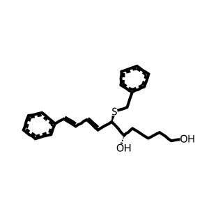 OCCCC[C@H](O)[C@@H](C=CC=Cc1ccccc1)SCc1ccccc1